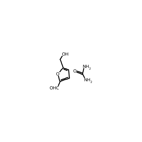 NC(N)=O.O=Cc1ccc(CO)o1